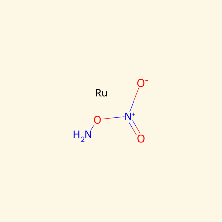 NO[N+](=O)[O-].[Ru]